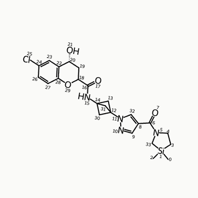 C[Si]1(C)CCN(C(=O)c2cnn(C34CC(NC(=O)C5C[C@@H](O)c6cc(Cl)ccc6O5)(C3)C4)c2)C1